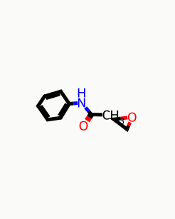 C1CO1.CC(=O)Nc1ccccc1